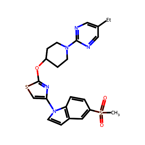 CCc1cnc(N2CCC(Oc3nc(-n4ccc5cc(S(C)(=O)=O)ccc54)cs3)CC2)nc1